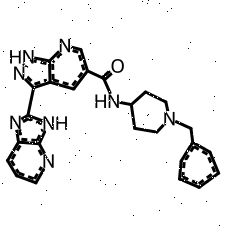 O=C(NC1CCN(Cc2ccccc2)CC1)c1cnc2[nH]nc(-c3nc4cccnc4[nH]3)c2c1